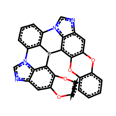 c1ccc2c(c1)Oc1cc3ncn4c3c(c1O2)B1c2c-4cccc2-n2cnc3cc4c(c1c32)Oc1ccccc1O4